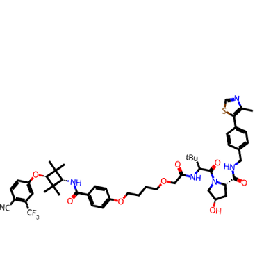 Cc1ncsc1-c1ccc(CNC(=O)[C@@H]2C[C@@H](O)CN2C(=O)C(NC(=O)COCCCCOc2ccc(C(=O)N[C@H]3C(C)(C)[C@H](Oc4ccc(C#N)c(C(F)(F)F)c4)C3(C)C)cc2)C(C)(C)C)cc1